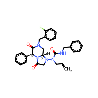 C=CCN(C(=O)NCc1ccccc1)N1CC(=O)N2[C@@H](c3ccccc3)C(=O)N(Cc3ccccc3F)C[C@@H]21